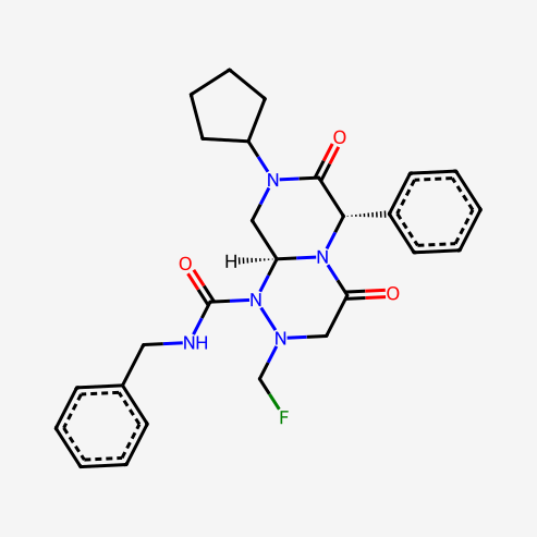 O=C1[C@H](c2ccccc2)N2C(=O)CN(CF)N(C(=O)NCc3ccccc3)[C@H]2CN1C1CCCC1